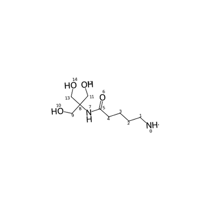 [NH]CCCCC(=O)NC(CO)(CO)CO